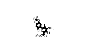 COC(=O)c1nc(-c2cc3c(cc2Cl)OC(F)(F)O3)c(F)c(N)c1Cl